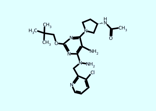 CC(=O)N[C@H]1CCN(c2nc(OCC(C)(C)C)nc(N(N)Cc3ncccc3Cl)c2N)C1